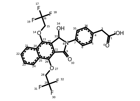 O=C(O)Cc1ccc(N2C(=O)c3c(c(OCC(F)(F)F)c4ccccc4c3OCC(F)(F)F)C2O)cc1